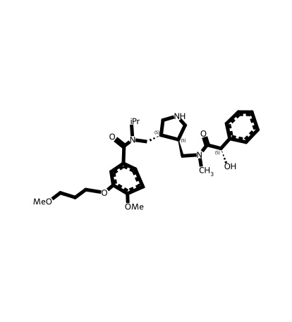 COCCCOc1cc(C(=O)N(C[C@@H]2CNC[C@H]2CN(C)C(=O)[C@@H](O)c2ccccc2)C(C)C)ccc1OC